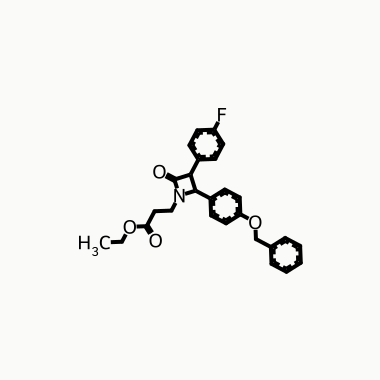 CCOC(=O)CCN1C(=O)C(c2ccc(F)cc2)C1c1ccc(OCc2ccccc2)cc1